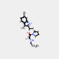 CCOC(=O)CN[C@H](C)C(=O)N1CCC[C@H]1CCc1[nH]c2cc(C#N)ccc2c1CC